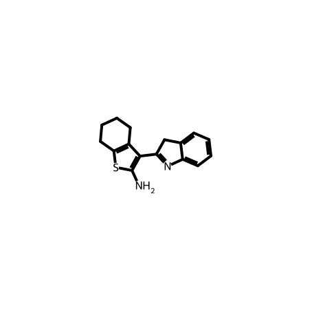 Nc1sc2c(c1C1=Nc3ccccc3C1)CCCC2